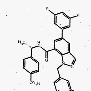 C[C@H](NC(=O)c1cc(-c2cc(F)cc(F)c2)cc2cnn(Cc3cccc(C(F)(F)F)c3)c12)c1ccc(C(=O)O)cc1